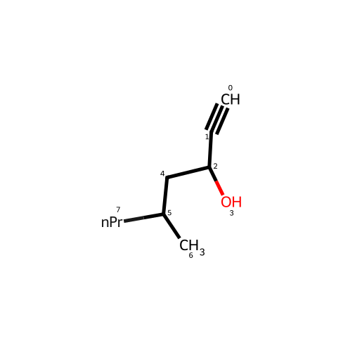 C#CC(O)CC(C)CCC